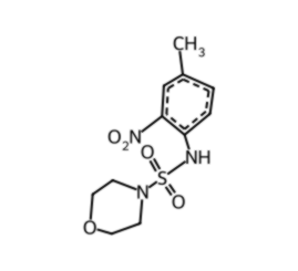 Cc1ccc(NS(=O)(=O)N2CCOCC2)c([N+](=O)[O-])c1